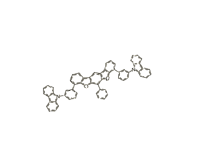 c1ccc(-c2c3oc4c(-c5cccc(-n6c7ccccc7c7ccccc76)c5)cccc4c3cc3c2oc2c(-c4cccc(-n5c6ccccc6c6ccccc65)c4)cccc23)cc1